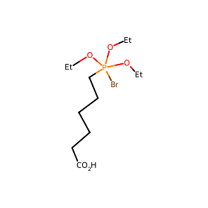 CCOP(Br)(CCCCCC(=O)O)(OCC)OCC